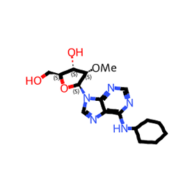 CO[C@H]1[C@@H](O)[C@H](CO)O[C@@H]1n1cnc2c(NC3CCCCC3)ncnc21